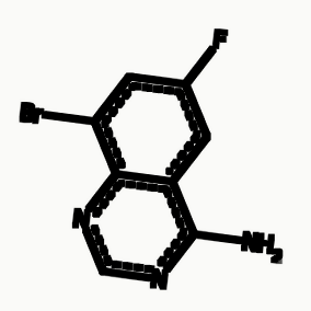 Nc1ncnc2c(Br)cc(F)cc12